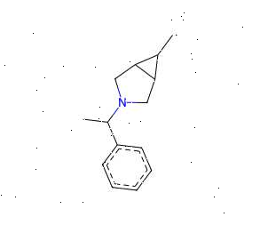 [CH2]C1C2CN(C(C)c3ccccc3)CC12